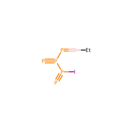 CCB=PP(#P)P(#P)I